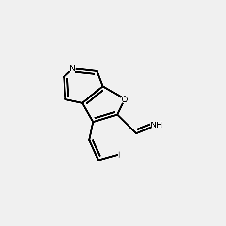 N=Cc1oc2cnccc2c1/C=C\I